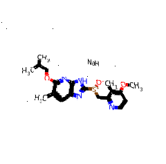 COc1ccnc(C[S+]([O-])c2nc3cc(C)c(OCC(C)C)nc3[nH]2)c1C.[NaH]